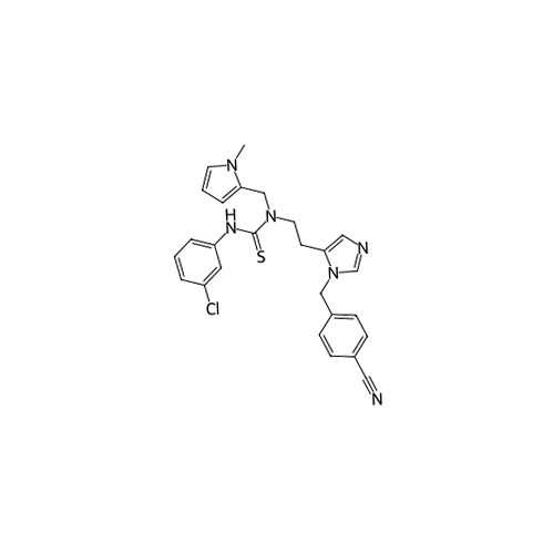 Cn1cccc1CN(CCc1cncn1Cc1ccc(C#N)cc1)C(=S)Nc1cccc(Cl)c1